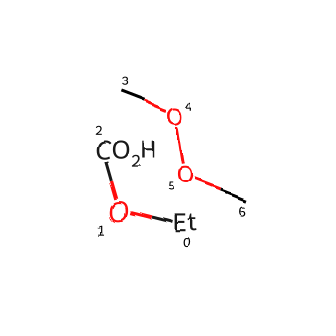 CCOC(=O)O.COOC